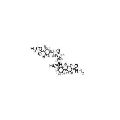 COC(=O)c1c(F)cc(CCN2C(=O)CCN2CCC(O)c2cccc(-c3ccc(C(N)=O)cc3C)c2)cc1F